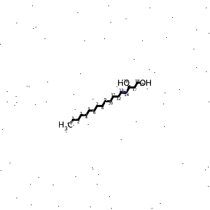 CCCCCCCCCCCCC/C=C/C(O)CCO